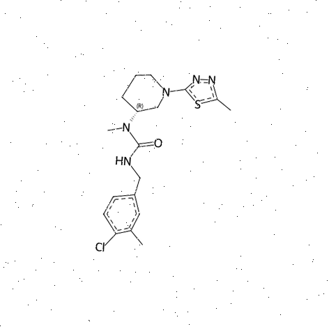 Cc1nnc(N2CCC[C@@H](N(C)C(=O)NCc3ccc(Cl)c(C)c3)C2)s1